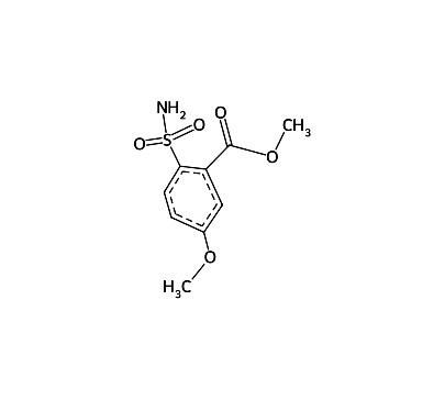 COC(=O)c1cc(OC)ccc1S(N)(=O)=O